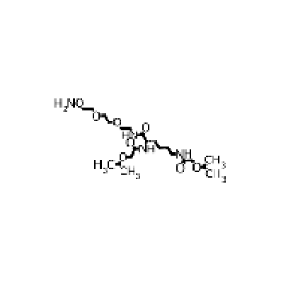 CC(C)OCC(=O)NCCCC[C@H](NC(=O)COC(C)C)C(=O)NCCOCCOCCON